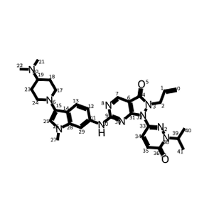 C=CCn1c(=O)c2cnc(Nc3ccc4c(N5CCC(N(C)C)CC5)cn(C)c4c3)nc2n1-c1ccc(=O)n(C(C)C)n1